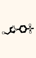 CS(=O)(=O)c1ccc(-n2cc(CCl)cn2)cc1